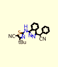 CC(C)(C)c1nc(Nc2nnc(C(C#N)c3ccccc3)c3ccccc23)sc1C#N